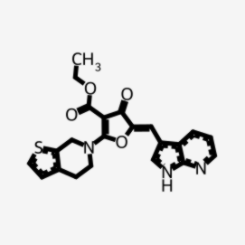 CCOC(=O)C1=C(N2CCc3ccsc3C2)O/C(=C\c2c[nH]c3ncccc23)C1=O